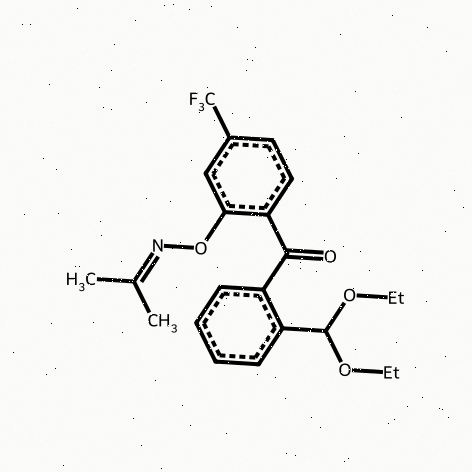 CCOC(OCC)c1ccccc1C(=O)c1ccc(C(F)(F)F)cc1ON=C(C)C